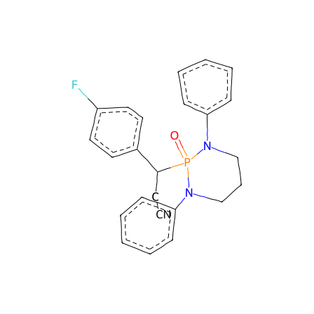 N#CCC(c1ccc(F)cc1)P1(=O)N(c2ccccc2)CCCN1c1ccccc1